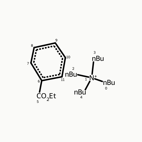 CCCC[N+](CCCC)(CCCC)CCCC.CCOC(=O)c1ccccc1